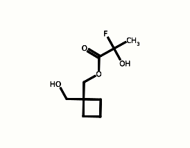 CC(O)(F)C(=O)OCC1(CO)CCC1